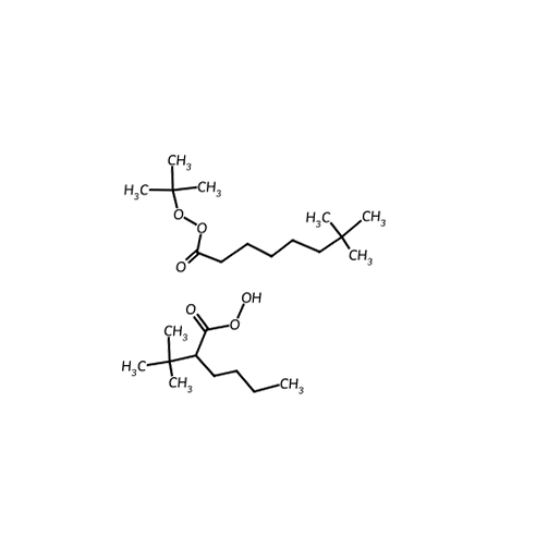 CC(C)(C)CCCCCC(=O)OOC(C)(C)C.CCCCC(C(=O)OO)C(C)(C)C